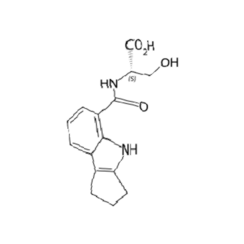 O=C(N[C@@H](CO)C(=O)O)c1cccc2c3c([nH]c12)CCC3